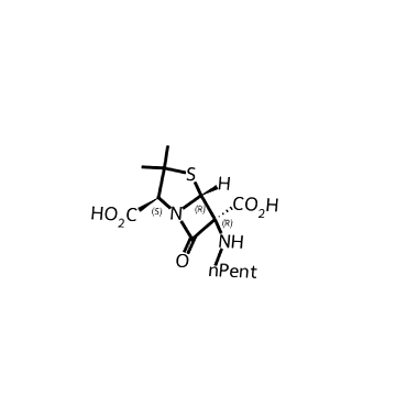 CCCCCN[C@@]1(C(=O)O)C(=O)N2[C@@H](C(=O)O)C(C)(C)S[C@@H]21